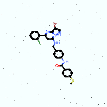 CSc1ccc(C(=O)Nc2ccc(CNc3cc(-c4ccccc4Cl)nc4c(Br)cnn34)cc2)cc1